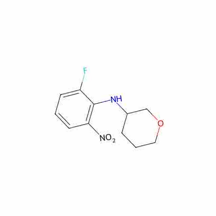 O=[N+]([O-])c1cccc(F)c1NC1CCCOC1